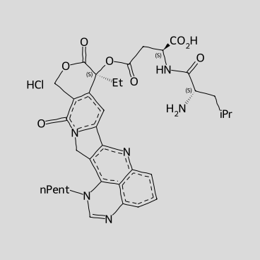 CCCCCN1C=Nc2cccc3nc4c(c1c23)Cn1c-4cc2c(c1=O)COC(=O)[C@@]2(CC)OC(=O)C[C@H](NC(=O)[C@@H](N)CC(C)C)C(=O)O.Cl